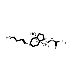 CC(=O)OC[C@H]1CC[C@]2(O)C[C@@H](C=CCCO)CC[C@]12C